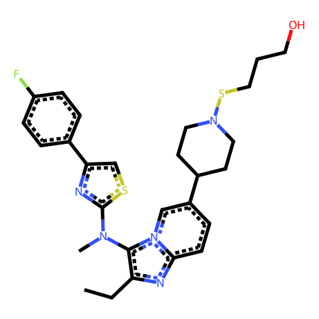 CCc1nc2ccc(C3CCN(SCCCO)CC3)cn2c1N(C)c1nc(-c2ccc(F)cc2)cs1